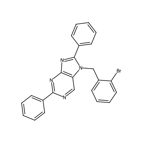 Brc1ccccc1Cn1c(-c2ccccc2)nc2nc(-c3ccccc3)ncc21